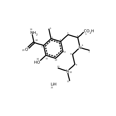 Cc1c(CC(C(=O)O)N(C)CCN(C)C)ccc(O)c1C(N)=O.[LiH]